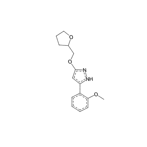 COc1ccccc1-c1cc(OCC2CCCO2)n[nH]1